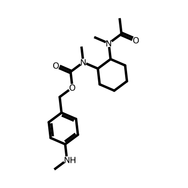 CNc1ccc(COC(=O)N(C)C2CCCCC2N(C)C(C)=O)cc1